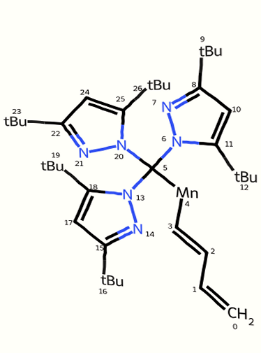 C=CC=[CH][Mn][C](n1nc(C(C)(C)C)cc1C(C)(C)C)(n1nc(C(C)(C)C)cc1C(C)(C)C)n1nc(C(C)(C)C)cc1C(C)(C)C